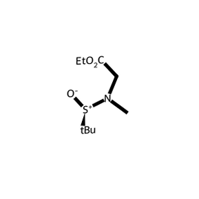 CCOC(=O)CN(C)[S@+]([O-])C(C)(C)C